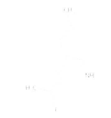 C/C=C/C(C=N)=C/C=C(\C)I